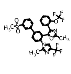 Cc1nc(-c2ccccc2OC(F)(F)F)c(-c2cc(-c3cccc(S(C)(=O)=O)c3)ccc2-n2cc(C(F)(F)F)nc2C)o1